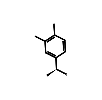 Cc1ccc([C@H](C)I)cc1C